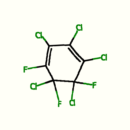 FC1=C(Cl)C(Cl)=C(Cl)C(F)(Cl)C1(F)Cl